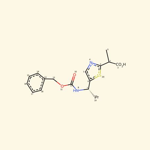 CC(C(=O)O)c1ncc([C@@H](NC(=O)OCc2ccccc2)C(C)C)s1